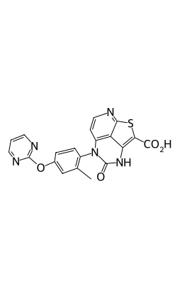 Cc1cc(Oc2ncccn2)ccc1N1C(=O)Nc2c(C(=O)O)sc3nccc1c23